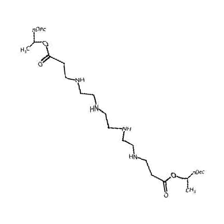 CCCCCCCCCCC(C)OC(=O)CCNCCNCCNCCNCCC(=O)OC(C)CCCCCCCCCC